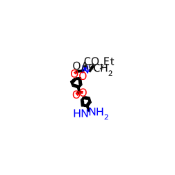 C=CCN(CC(=O)OCC)C(=O)C(OC(C)=O)Oc1ccc(C(=O)Oc2ccc(C(=N)N)cc2)cc1